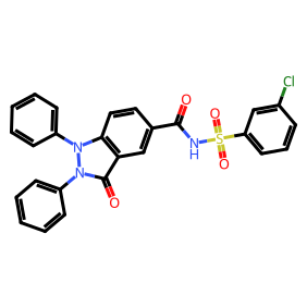 O=C(NS(=O)(=O)c1cccc(Cl)c1)c1ccc2c(c1)c(=O)n(-c1ccccc1)n2-c1ccccc1